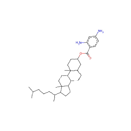 CC(C)CCCC(C)C1CCC2C3CCC4CC(OC(=O)c5ccc(N)cc5N)CCC4(C)C3CCC12C